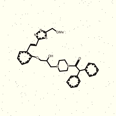 COCc1nnc(C=Cc2ccccc2OCC(O)CN2CCN(C(=O)C(c3ccccc3)c3ccccc3)CC2)s1